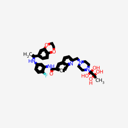 C=C(Nc1ccc(F)c(NC(=O)c2ccc3nc(CN4CCN(C(O)(O)C(C)(O)O)CC4)ccc3c2)c1)c1ccc2c(c1)OCCO2